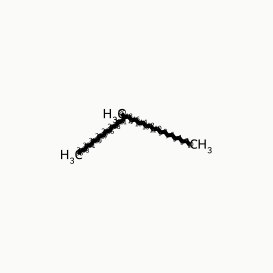 CCCCCCCCCCCCCCCCC[CH]CC(C)CCCCCCCCCCCCCCC